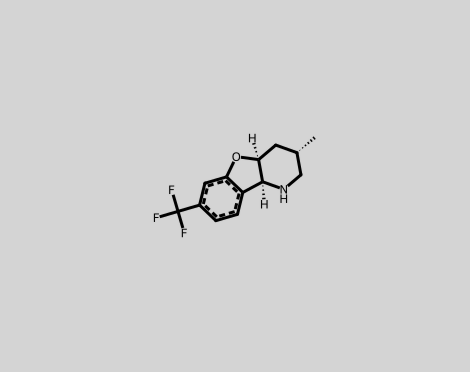 C[C@@H]1CN[C@H]2c3ccc(C(F)(F)F)cc3O[C@H]2C1